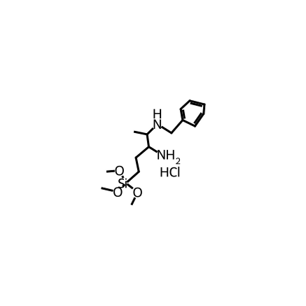 CO[Si](CCC(N)C(C)NCc1ccccc1)(OC)OC.Cl